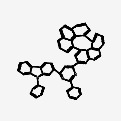 c1ccc(-c2nc(-c3cc4ccc5cccc6c7cccc8ccc9cccc(c(c3)c4c56)c9c87)cc(-c3ccc4c5ccccc5n(-c5ccccc5)c4c3)n2)cc1